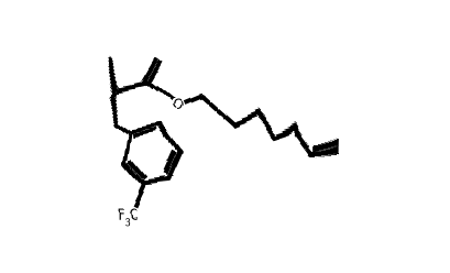 C=CCCCCCOC(=C)C(C)Cc1cccc(C(F)(F)F)c1